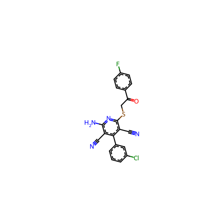 N#Cc1c(N)nc(SCC(=O)c2ccc(F)cc2)c(C#N)c1-c1cccc(Cl)c1